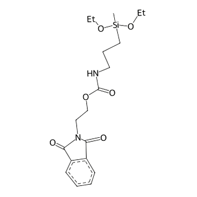 CCO[Si](C)(CCCNC(=O)OCCN1C(=O)c2ccccc2C1=O)OCC